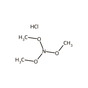 CON(OC)OC.Cl